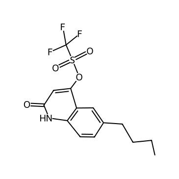 CCCCc1ccc2[nH]c(=O)cc(OS(=O)(=O)C(F)(F)F)c2c1